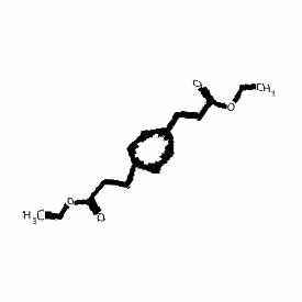 CCOC(=O)CCc1ccc(CCC(=O)OCC)cc1